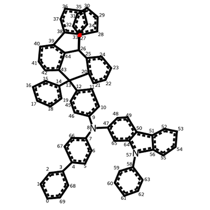 c1ccc(-c2ccc(N(c3ccc(C4(c5ccccc5)c5ccccc5C5(c6ccccc6)c6ccccc6-c6cccc4c65)cc3)c3ccc4c5ccccc5n(-c5ccccc5)c4c3)cc2)cc1